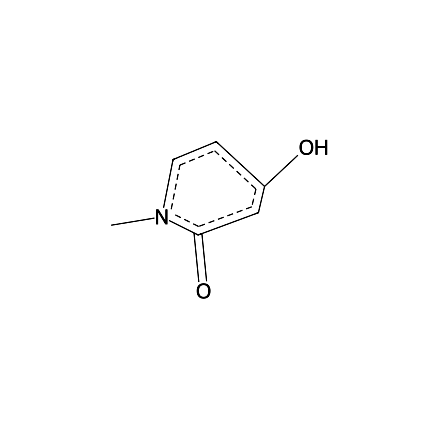 Cn1ccc(O)cc1=O